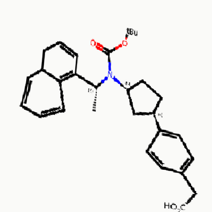 C[C@H](C1=C2C=CC=CC2CC=C1)N(C(=O)OC(C)(C)C)[C@H]1CC[C@@H](c2ccc(CC(=O)O)cc2)C1